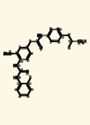 COc1cc(CC(=O)Nc2ccc(CC(C)C(=O)O)nc2)ccc1NC(=O)Nc1ccccc1C